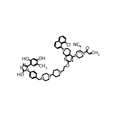 C=CC(=O)N1CCN(c2nc(OCCN3CCC(N4CCN(Cc5ccc(-n6c(O)nnc6-c6cc(C)c(O)cc6O)cc5)CC4)CC3)nc3c2CCN(c2cccc4cccc(Cl)c24)C3)C[C@@H]1CC#N